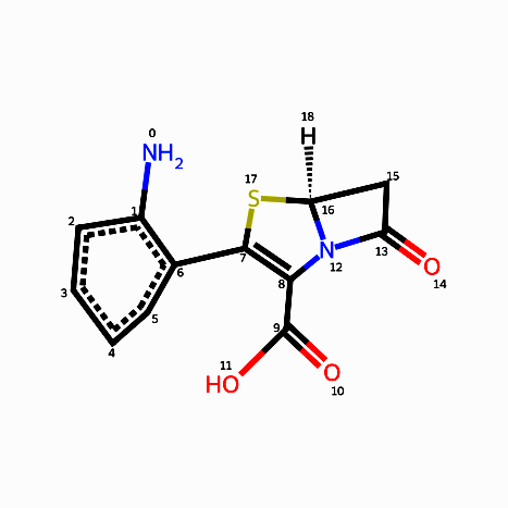 Nc1ccccc1C1=C(C(=O)O)N2C(=O)C[C@@H]2S1